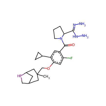 CC1(COc2cc(F)c(C(=O)N3CCCC3/C(=N/N)NN)cc2C2CC2)CC2CPC(C2)C1